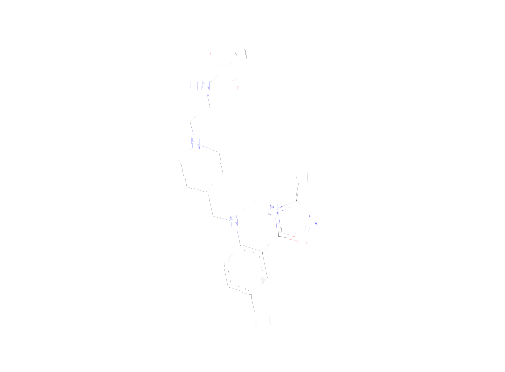 Cc1ccc(N(CC2CCN(CCNS(C)(=O)=O)CC2)C(=O)O)c(-c2nc(C)no2)c1